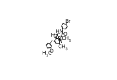 COc1cccc(Cc2cc(C)nn(C(C)(C)C(=O)Nc3ccc(Br)cc3)c2=O)c1